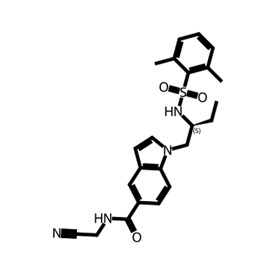 CC[C@@H](Cn1ccc2cc(C(=O)NCC#N)ccc21)NS(=O)(=O)c1c(C)cccc1C